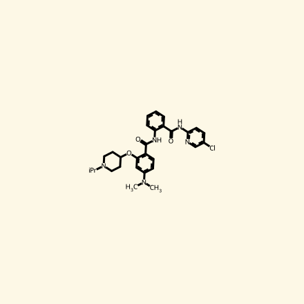 CC(C)N1CCC(Oc2cc(N(C)C)ccc2C(=O)Nc2ccccc2C(=O)Nc2ccc(Cl)cn2)CC1